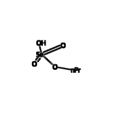 CCCO[Se](=O)(=O)O